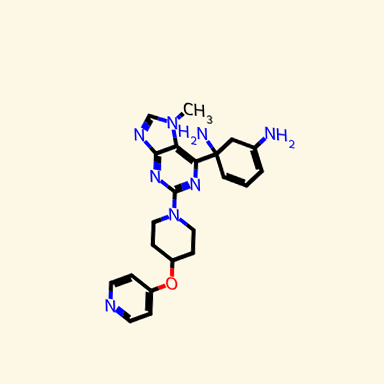 Cn1cnc2nc(N3CCC(Oc4ccncc4)CC3)nc(C3(N)C=CC=C(N)C3)c21